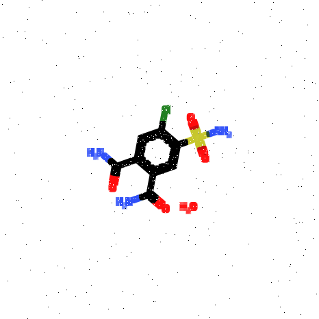 NC(=O)c1cc(Cl)c(S(N)(=O)=O)cc1C(N)=O.O